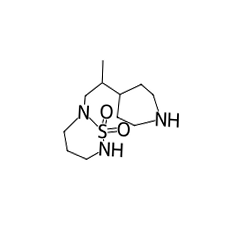 CC(CN1CCCNS1(=O)=O)C1CCNCC1